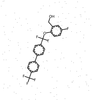 OCc1cc(F)ccc1OC(F)(F)c1ccc(-c2ccc(C(F)(F)F)cc2)cc1